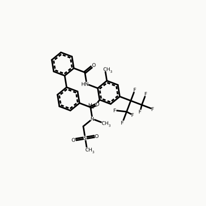 Cc1cc(C(F)(C(F)(F)F)C(F)(F)F)cc(C)c1NC(=O)c1ccccc1-c1cccc(C(=O)N(C)CS(C)(=O)=O)c1